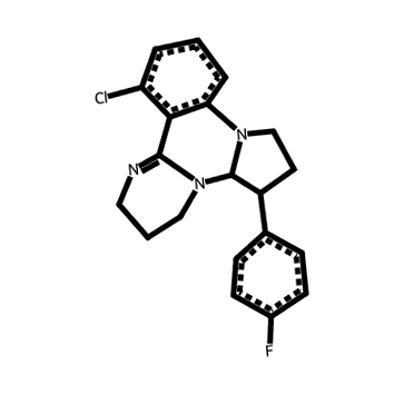 Fc1ccc(C2CCN3c4cccc(Cl)c4C4=NCCCN4C23)cc1